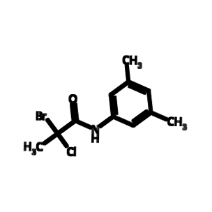 Cc1cc(C)cc(NC(=O)C(C)(Cl)Br)c1